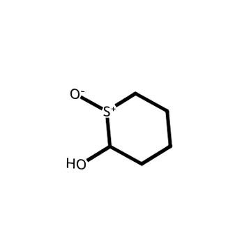 [O-][S+]1CCCCC1O